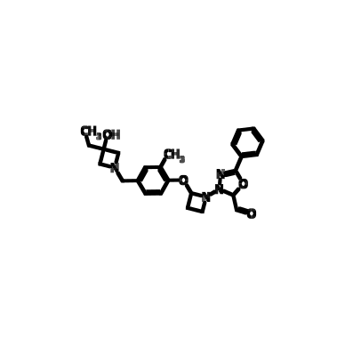 CCC1(O)CN(Cc2ccc(OC3CCN3N3N=C(c4ccccc4)OC3C=O)c(C)c2)C1